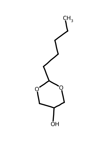 CCCCCC1OCC(O)CO1